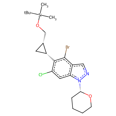 CC(C)(C)[Si](C)(C)OC[C@H]1C[C@H]1c1c(Cl)cc2c(cnn2[C@H]2CCCCO2)c1Br